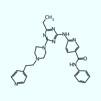 CCc1nc(Nc2ccc(C(=O)Nc3ccccc3)cn2)nc(N2CCN(CCc3ccncc3)CC2)n1